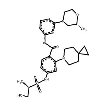 C[C@@H]1CN(c2nccc(NC(=O)c3ccc(NS(=O)(=O)[C@H](C)CO)cc3N3CCC4(CC3)CC4)n2)CCO1